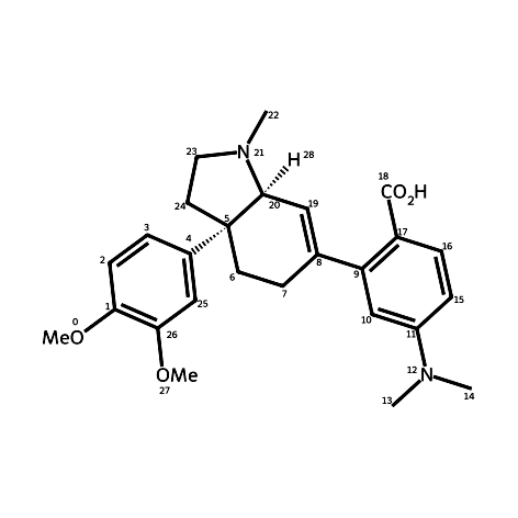 COc1ccc([C@@]23CCC(c4cc(N(C)C)ccc4C(=O)O)=C[C@@H]2N(C)CC3)cc1OC